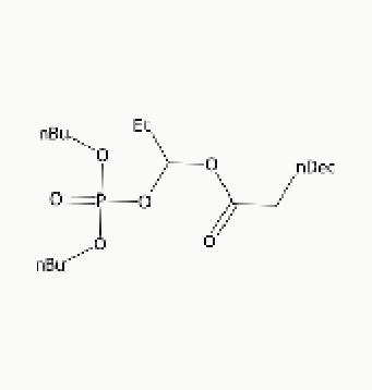 CCCCCCCCCCCC(=O)OC(CC)OP(=O)(OCCCC)OCCCC